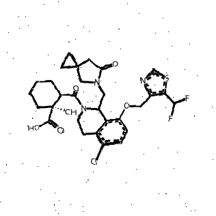 C[C@]1(C(=O)O)CCCC[C@H]1C(=O)N1CCc2c(Cl)ccc(OCc3ncsc3C(F)F)c2C1CN1CC2(CC2)CC1=O